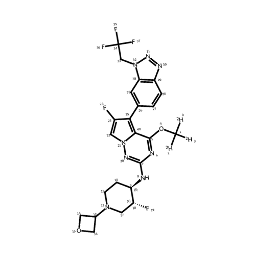 [2H]C([2H])([2H])Oc1nc(N[C@@H]2CCN(C3COC3)C[C@H]2F)nn2cc(F)c(-c3ccc4nnn(CC(F)(F)F)c4c3)c12